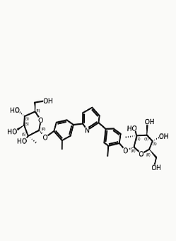 Cc1cc(-c2cccc(-c3ccc(O[C@H]4O[C@H](CO)[C@@H](O)[C@H](O)[C@]4(C)O)c(C)c3)n2)ccc1O[C@H]1O[C@H](CO)[C@@H](O)[C@H](O)[C@]1(C)O